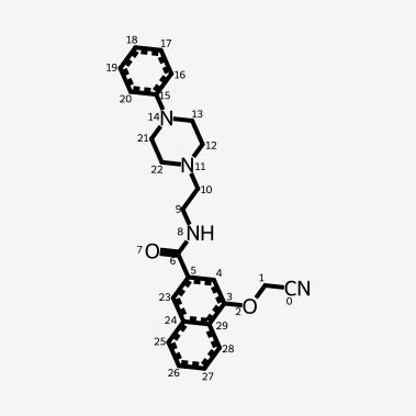 N#CCOc1cc(C(=O)NCCN2CCN(c3ccccc3)CC2)cc2ccccc12